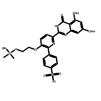 CCS(=O)(=O)c1ccc(-c2nc(-c3nc4cc(OC)cc(OC)c4c(=O)[nH]3)ccc2OCCO[Si](C)(C)C(C)(C)C)cc1